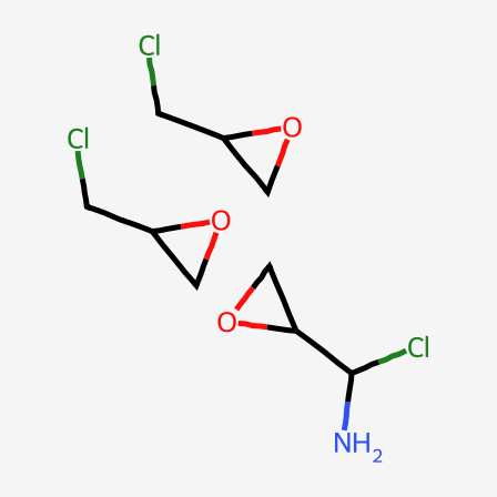 ClCC1CO1.ClCC1CO1.NC(Cl)C1CO1